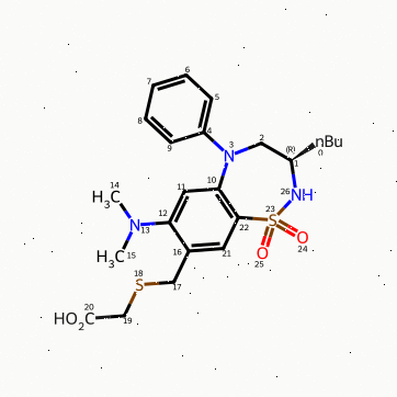 CCCC[C@@H]1CN(c2ccccc2)c2cc(N(C)C)c(CSCC(=O)O)cc2S(=O)(=O)N1